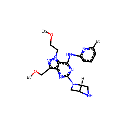 CCOCCn1nc(COCC)c2nc(N3CC4NC[C@H]43)nc(Nc3cccc(CC)n3)c21